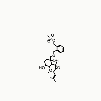 COC1C(O)CCC(O)(CSCc2ccccc2COS(C)(=O)=O)C1C1(C)OC1CC=C(C)C